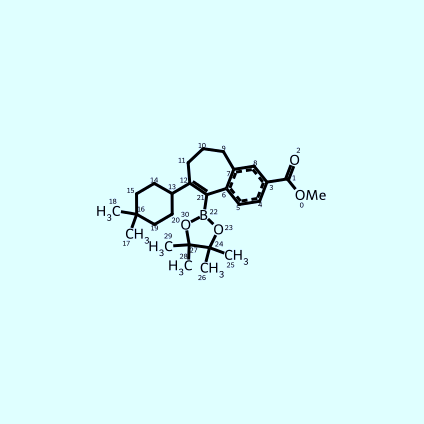 COC(=O)c1ccc2c(c1)CCCC(C1CCC(C)(C)CC1)=C2B1OC(C)(C)C(C)(C)O1